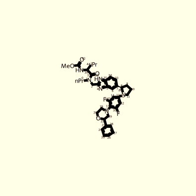 CCCN(Cc1nc2cc([C@H]3CCCN3c3cc(F)c(N4CCOC(c5ccccc5)C4)c(F)c3)ccc2[nH]1)C(=O)C(NC(=O)OC)C(C)C